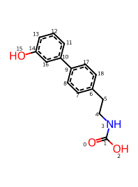 O=C(O)NCCc1ccc(-c2cccc(O)c2)cc1